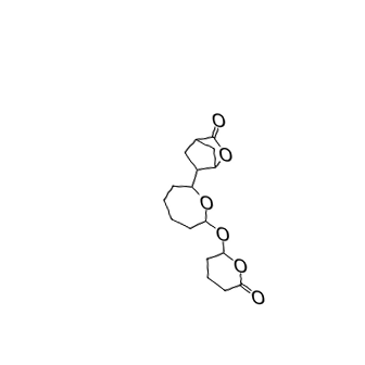 O=C1CCCC(OC2CCCCC(C3CC4CC3OC4=O)O2)O1